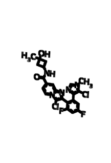 Cn1cnc(-c2cc(F)cc(F)c2-c2nc3cc(C(=O)NC4CC(C)(O)C4)ccn3c2Cl)c1Cl